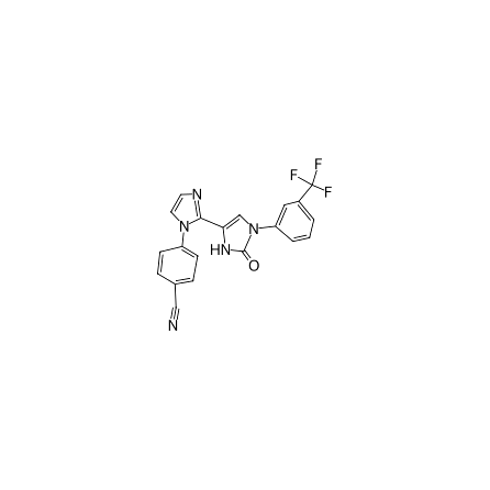 N#Cc1ccc(-n2ccnc2-c2cn(-c3cccc(C(F)(F)F)c3)c(=O)[nH]2)cc1